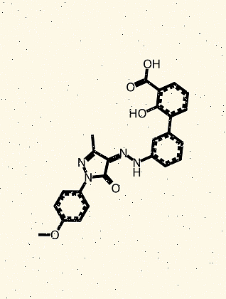 COc1ccc(N2N=C(C)/C(=N/Nc3cccc(-c4cccc(C(=O)O)c4O)c3)C2=O)cc1